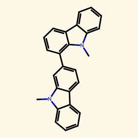 Cn1c2ccccc2c2ccc(-c3cccc4c5ccccc5n(C)c34)cc21